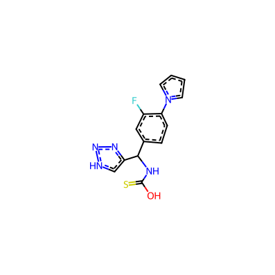 OC(=S)NC(c1ccc(-n2cccc2)c(F)c1)c1c[nH]nn1